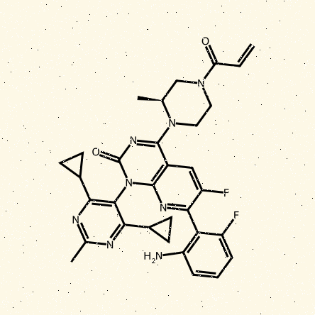 C=CC(=O)N1CCN(c2nc(=O)n(-c3c(C4CC4)nc(C)nc3C3CC3)c3nc(-c4c(N)cccc4F)c(F)cc23)[C@@H](C)C1